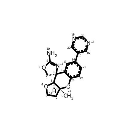 C[C@]12CCO[C@H]1[C@]1(COC(N)=N1)c1cc(-c3cncnc3)ccc1O2